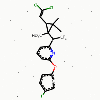 CC1(C)C(C=C(Cl)Cl)C1(C(=O)O)C(c1cccc(Oc2ccc(F)cc2)n1)C(F)(F)F